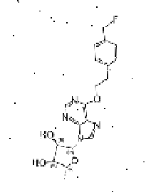 C[C@H]1O[C@@H](n2cnc3c(OCCc4ccc(CF)cc4)ncnc32)[C@H](O)[C@@H]1O